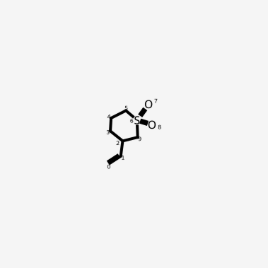 C=CC1CCCS(=O)(=O)C1